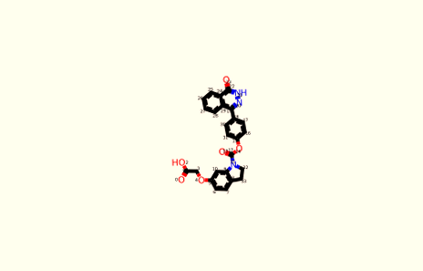 O=C(O)COc1ccc2c(c1)N(C(=O)Oc1ccc(-c3n[nH]c(=O)c4ccccc34)cc1)CC2